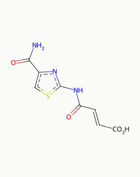 NC(=O)c1csc(NC(=O)C=CC(=O)O)n1